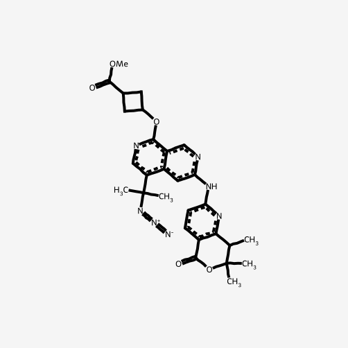 COC(=O)C1CC(Oc2ncc(C(C)(C)N=[N+]=[N-])c3cc(Nc4ccc5c(n4)C(C)C(C)(C)OC5=O)ncc23)C1